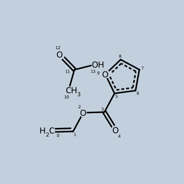 C=COC(=O)c1ccco1.CC(=O)O